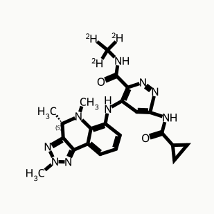 [2H]C([2H])([2H])NC(=O)c1nnc(NC(=O)C2CC2)cc1Nc1cccc2c1N(C)[C@@H](C)c1nn(C)nc1-2